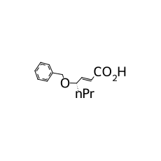 CCC[C@@H](/C=C/C(=O)O)OCc1ccccc1